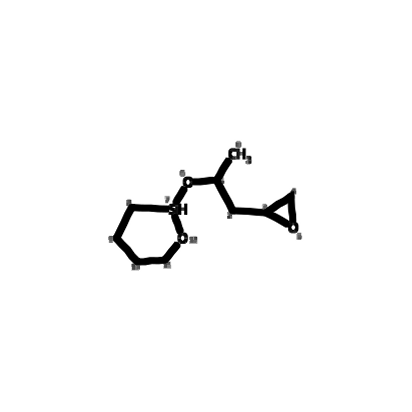 CC(CC1CO1)O[SiH]1CCCCO1